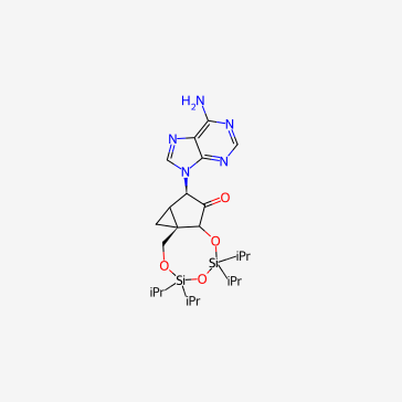 CC(C)[Si]1(C(C)C)OC[C@@]23CC2[C@@H](n2cnc4c(N)ncnc42)C(=O)C3O[Si](C(C)C)(C(C)C)O1